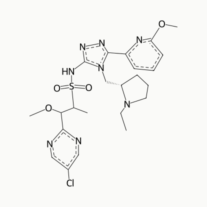 CCN1CCC[C@H]1Cn1c(NS(=O)(=O)C(C)C(OC)c2ncc(Cl)cn2)nnc1-c1cccc(OC)n1